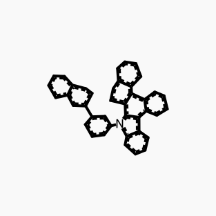 c1cc(-c2ccc3ccccc3c2)cc(-n2c3ccccc3c3c4ccccc4c4c5ccccc5ccc4c32)c1